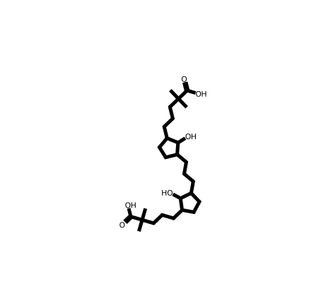 CC(C)(CCCC1CCC(CCCC2CCC(CCCC(C)(C)C(=O)O)C2O)C1O)C(=O)O